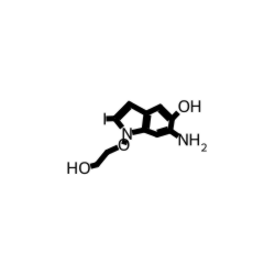 Nc1cc2c(cc1O)cc(I)n2OCCO